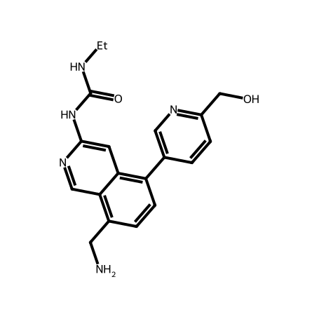 CCNC(=O)Nc1cc2c(-c3ccc(CO)nc3)ccc(CN)c2cn1